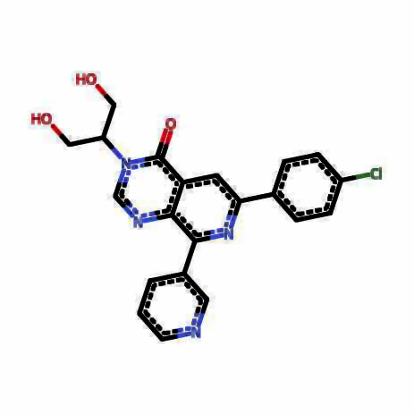 O=c1c2cc(-c3ccc(Cl)cc3)nc(-c3cccnc3)c2ncn1C(CO)CO